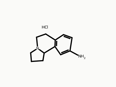 Cl.Nc1ccc2c(c1)C1CCCN1CC2